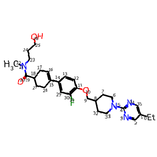 CCc1cnc(N2CCC(COc3ccc(C4=CCC(C(=O)N(C)CCCO)CC4)cc3F)CC2)nc1